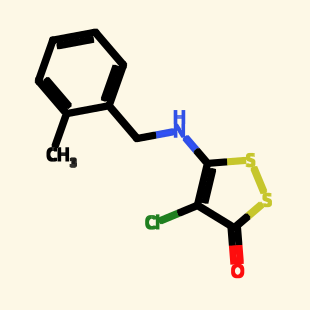 Cc1ccccc1CNc1ssc(=O)c1Cl